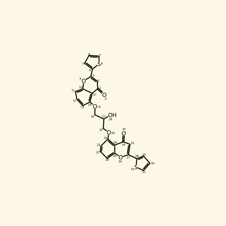 O=c1cc(-c2cccs2)oc2cccc(OCC(O)COc3cccc4oc(-c5cccs5)cc(=O)c34)c12